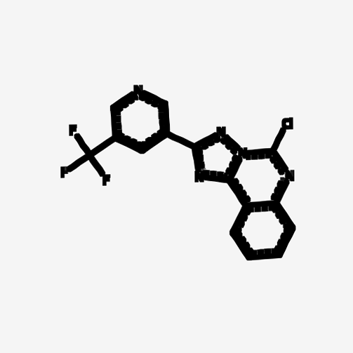 FC(F)(F)c1cncc(-c2nc3c4ccccc4nc(Cl)n3n2)c1